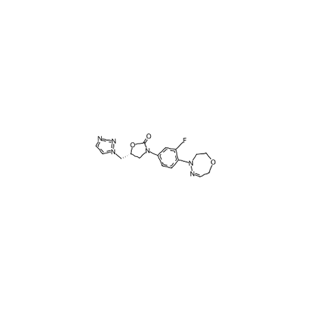 O=C1O[C@@H](Cn2ccnn2)CN1c1ccc(N2CCOCC=N2)c(F)c1